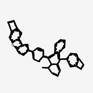 CC1C=CC=C2C(c3ccc4c(c3)CC4)=c3ccccc3=C(C3C=CC(c4ccc5sc6cc7c(cc6c5c4)CC7)=CC3)C21